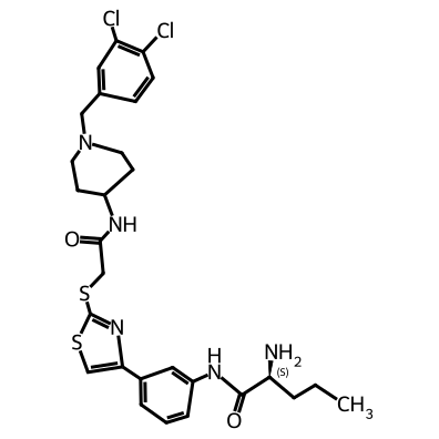 CCC[C@H](N)C(=O)Nc1cccc(-c2csc(SCC(=O)NC3CCN(Cc4ccc(Cl)c(Cl)c4)CC3)n2)c1